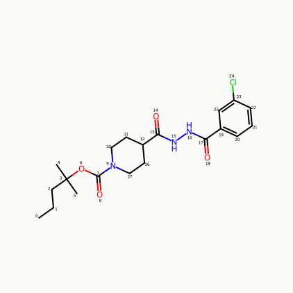 CCCC(C)(C)OC(=O)N1CCC(C(=O)NNC(=O)c2cccc(Cl)c2)CC1